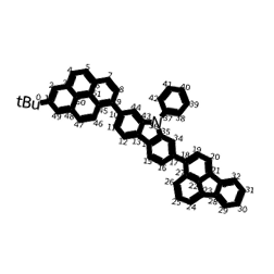 CC(C)(C)c1cc2ccc3ccc(-c4ccc5c6ccc(-c7ccc8c9c(cccc79)-c7ccccc7-8)cc6n(-c6ccccc6)c5c4)c4ccc(c1)c2c34